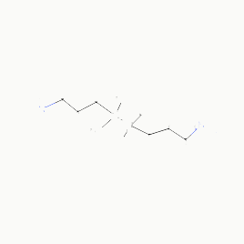 C[Si](C)(CCCN)[Si](C)(C)CCCN